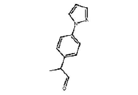 CC(C=O)c1ccc(-n2cccn2)cc1